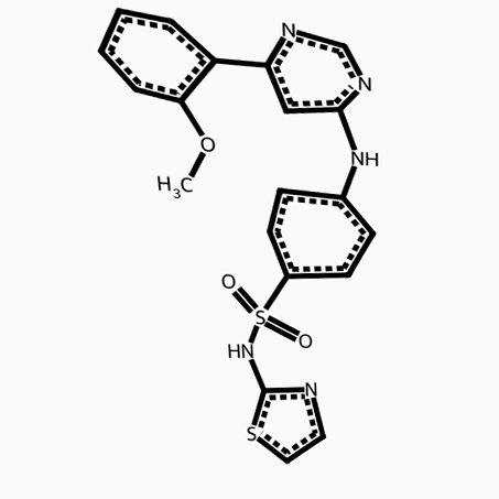 COc1ccccc1-c1cc(Nc2ccc(S(=O)(=O)Nc3nccs3)cc2)ncn1